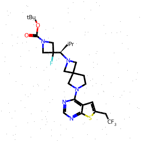 CC(C)[C@@H](N1CC2(CCN(c3ncnc4sc(CC(F)(F)F)cc34)C2)C1)C1(F)CN(C(=O)OC(C)(C)C)C1